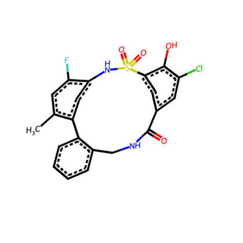 Cc1cc(F)c2cc1-c1ccccc1CNC(=O)c1cc(Cl)c(O)c(c1)S(=O)(=O)N2